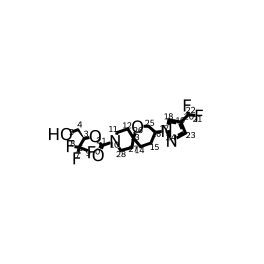 O=C(O[C@H](CO)C(F)(F)F)N1CCC2(CCC(n3cc(C(F)F)cn3)CO2)CC1